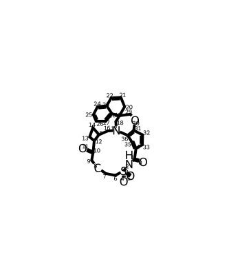 O=C1NS(=O)(=O)CCCCC(=O)C2CCC2CN2CC3(CC=Cc4ccccc43)COc3ccc1cc32